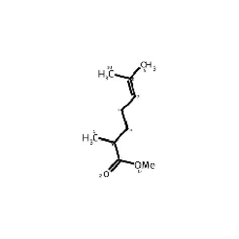 COC(=O)C(C)CCC=C(C)C